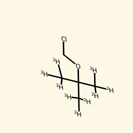 [2H]C([2H])([2H])C(OCCl)(C([2H])([2H])[2H])C([2H])([2H])[2H]